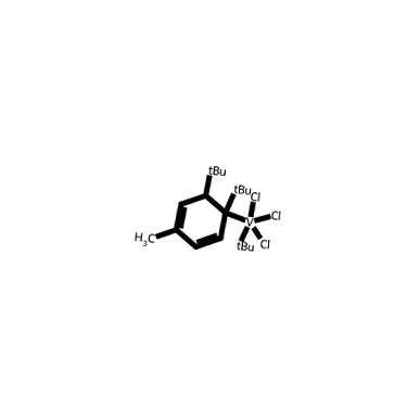 CC1=CC(C(C)(C)C)[C](C(C)(C)C)([V]([Cl])([Cl])([Cl])[C](C)(C)C)C=C1